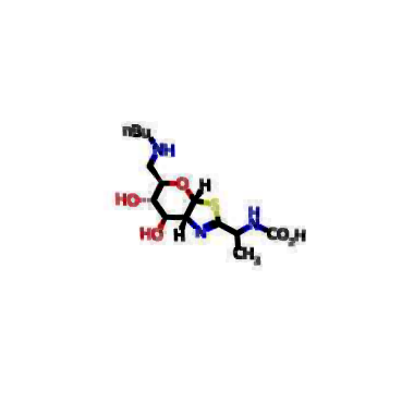 CCCCNC[C@H]1O[C@@H]2SC(C(C)NC(=O)O)=N[C@@H]2[C@@H](O)[C@@H]1O